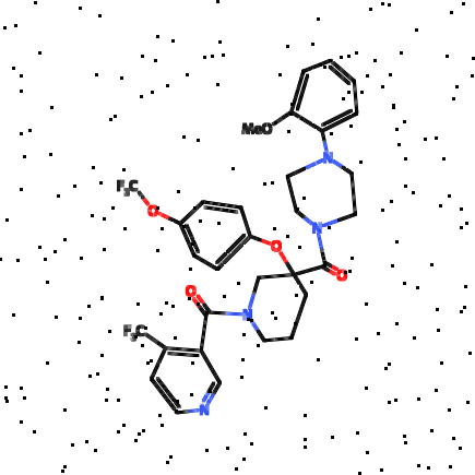 COc1ccccc1N1CCN(C(=O)C2(Oc3ccc(OC(F)(F)F)cc3)CCCN(C(=O)c3cnccc3C(F)(F)F)C2)CC1